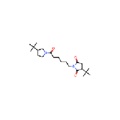 CC(C)(C)C1CCN(C(=O)CCCCCN2C(=O)CC(C(C)(C)C)C2=O)C1